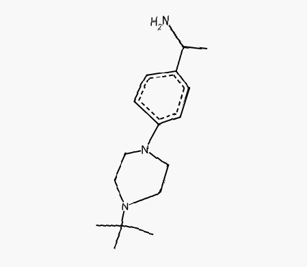 CC(N)c1ccc(N2CCN(C(C)(C)C)CC2)cc1